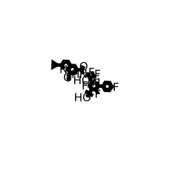 COc1cc(C(=O)NCC(O)(c2nc(-c3ccc(F)cc3)c(F)c(C(C)(C)O)c2F)C(F)(F)F)cc2ccc(C3CC3)nc12